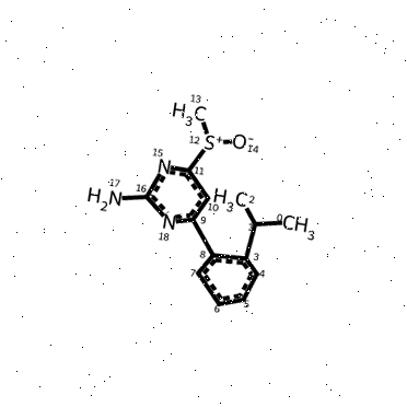 CC(C)c1ccccc1-c1cc([S+](C)[O-])nc(N)n1